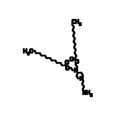 CCCCCCCCCCCCCC(=O)OCCN(CCOC(=O)CCCCCCCCCCCCC)C1CCN(CCCCN)CC1